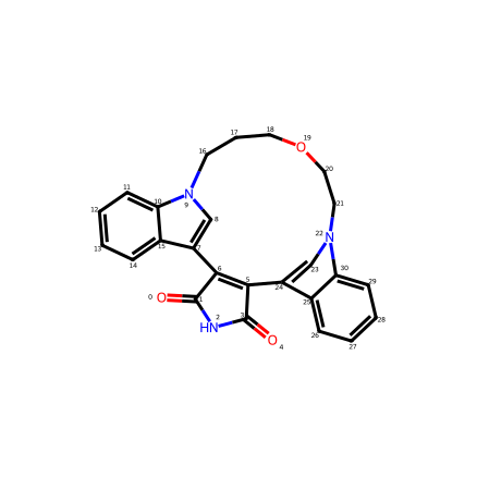 O=C1NC(=O)C2=C1c1cn(c3ccccc13)CCCOCCn1cc2c2ccccc21